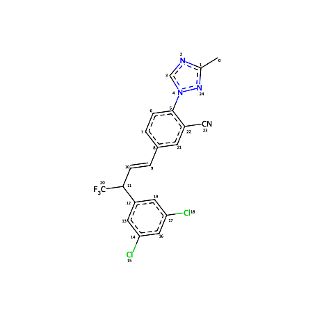 Cc1ncn(-c2ccc(/C=C/C(c3cc(Cl)cc(Cl)c3)C(F)(F)F)cc2C#N)n1